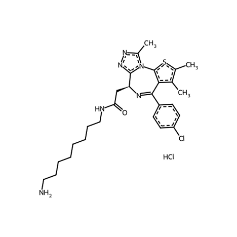 Cc1sc2c(c1C)C(c1ccc(Cl)cc1)=N[C@@H](CC(=O)NCCCCCCCCN)c1nnc(C)n1-2.Cl